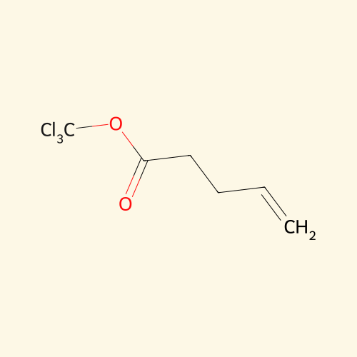 C=CCCC(=O)OC(Cl)(Cl)Cl